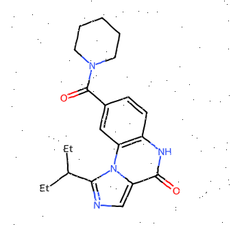 CCC(CC)c1ncc2c(=O)[nH]c3ccc(C(=O)N4CCCCC4)cc3n12